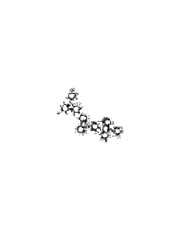 Cc1ccc2c(c1)c1cc(-c3ccc4c(c3)c3ccccc3n4-c3ccc(-c4c5ccccc5c(-c5ccccc5)c5ccccc45)cc3)ccc1n2-c1ccccc1